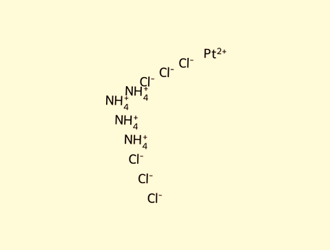 [Cl-].[Cl-].[Cl-].[Cl-].[Cl-].[Cl-].[NH4+].[NH4+].[NH4+].[NH4+].[Pt+2]